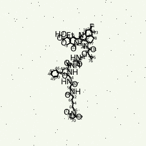 CC[C@@]1(O)C(=O)OCc2c1cc1n(c2=O)Cc2c-1nc1cc(F)c(C)c3c1c2[C@@H](N(C)C(=O)[C@@H](OCNC(=O)CNC(=O)[C@H](CCc1ccccc1)NC(=O)CNC(=O)CNC(=O)CCCCCN1C(=O)C=CC1=O)C1CC1)CC3